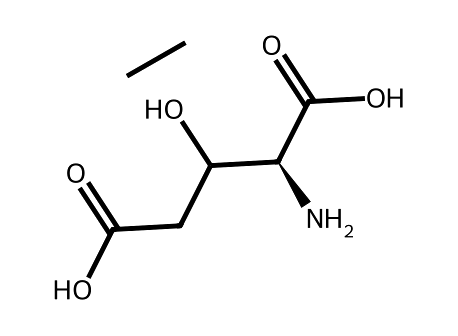 CC.N[C@H](C(=O)O)C(O)CC(=O)O